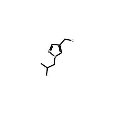 CC(C)Cn1cc(CCl)cn1